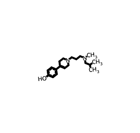 CC(C)CN(C)CCCN1CC=C(c2ccc(O)cc2)CC1